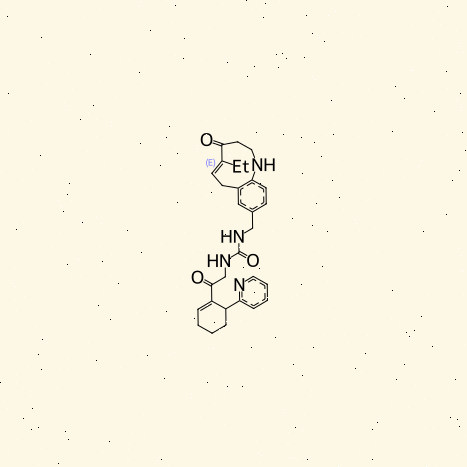 CC/C1=C\Cc2cc(CNC(=O)NCC(=O)C3=CCCCC3c3ccccn3)ccc2NCCC1=O